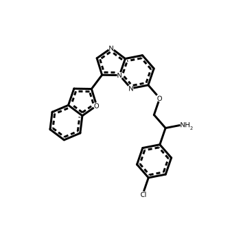 NC(COc1ccc2ncc(-c3cc4ccccc4o3)n2n1)c1ccc(Cl)cc1